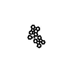 C1=C(N(c2ccccc2)c2ccc3c(c2)C2(c4ccccc4-c4ccccc42)c2ccccc2-3)C=C2C(C1)c1ccccc1C21c2ccccc2-c2ccccc21